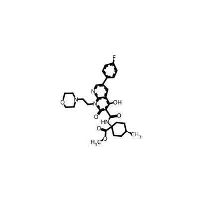 COC(=O)[C@]1(NC(=O)c2c(O)c3cc(-c4ccc(F)cc4)cnc3n(CCN3CCOCC3)c2=O)CC[C@@H](C)CC1